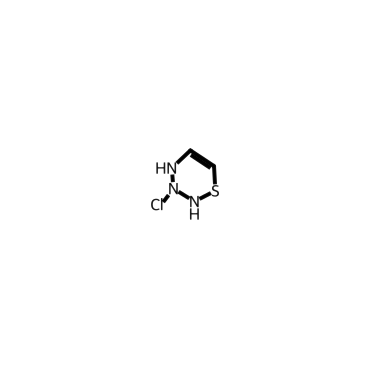 Cln1[nH]ccs[nH]1